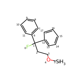 FC(CCO[SiH3])(c1ccccc1)c1ccccc1